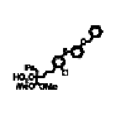 COC(OC)C(CCCc1ccc(Sc2cccc(OCc3ccccc3)c2)cc1Cl)(CC(C)C)C(=O)O